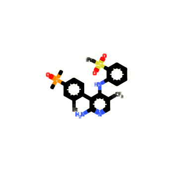 CCc1cc(P(C)(C)=O)ccc1-c1c(N)ncc(C(F)(F)F)c1Nc1ccccc1S(=O)(=O)C(C)C